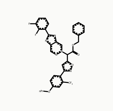 CCCOc1ccc(-c2cc(C(C(=O)OCc3ccccc3)n3cc4nc(-c5cccc(F)c5F)nc-4cn3)on2)c(C(F)(F)F)c1